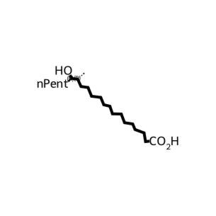 CCCCC[C@@H](O)[C@H](C)CCCCCCCCCCCCCC(=O)O